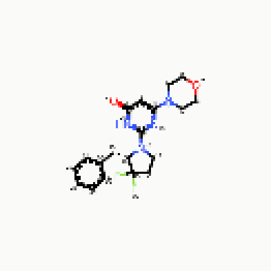 O=c1cc(N2CCOCC2)nc(N2CCC(F)(F)[C@@H]2Cc2ccccc2)[nH]1